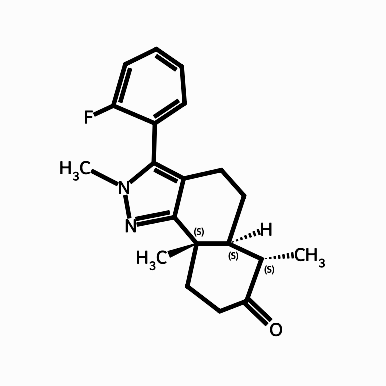 C[C@@H]1C(=O)CC[C@]2(C)c3nn(C)c(-c4ccccc4F)c3CC[C@@H]12